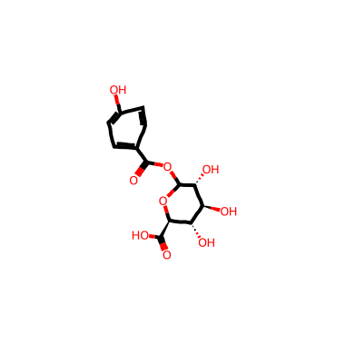 O=C(OC1O[C@H](C(=O)O)[C@@H](O)[C@H](O)[C@H]1O)c1ccc(O)cc1